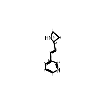 C(=CC1CCN1)c1cccnc1